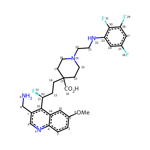 COc1ccc2ncc(CN)c([C@@H](F)CCC3(C(=O)O)CCN(CCNc4cc(F)cc(F)c4F)CC3)c2c1